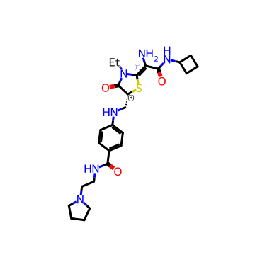 CCN1C(=O)[C@@H](CNc2ccc(C(=O)NCCN3CCCC3)cc2)S/C1=C(/N)C(=O)NC1CCC1